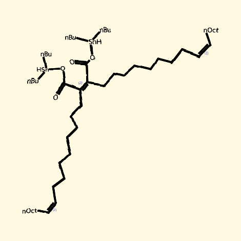 CCCCCCCC/C=C\CCCCCCCC/C(C(=O)[O][SnH]([CH2]CCC)[CH2]CCC)=C(\CCCCCCCC/C=C\CCCCCCCC)C(=O)[O][SnH]([CH2]CCC)[CH2]CCC